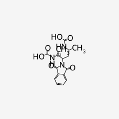 CC(CC([C@H](C)NC(=O)O)N1C(=O)c2ccccc2C1=O)NC(=O)O